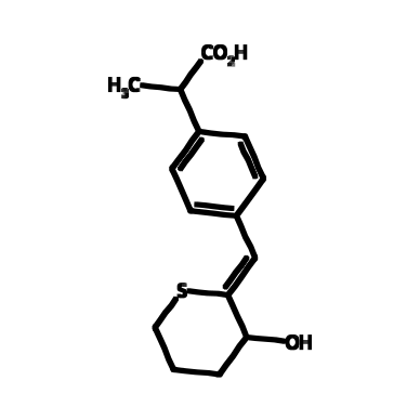 CC(C(=O)O)c1ccc(C=C2SCCCC2O)cc1